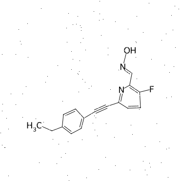 CCc1ccc(C#Cc2ccc(F)c(C=NO)n2)cc1